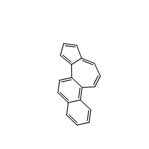 c1cc2cccc3c(ccc4ccccc43)c-2c1